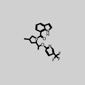 CC1CC(C(C)Oc2ccc(C(F)(F)F)cn2)N(C(=O)c2cccc3cc[nH]c23)C1